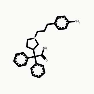 NC(=O)C(c1ccccc1)(c1ccccc1)C1CCN(CCCc2ccc(N)cc2)C1